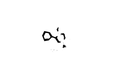 COC(=O)N1C=C(c2ccccc2)N(CC(=O)O)C(=O)[C@@H]1C(C)C